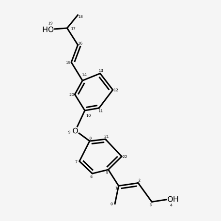 CC(=CCO)c1ccc(Oc2cccc(C=CC(C)O)c2)cc1